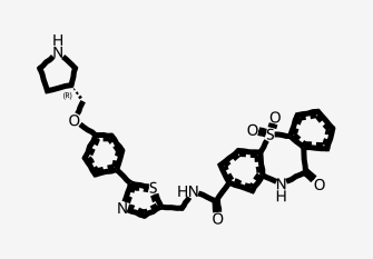 O=C(NCc1cnc(-c2ccc(OC[C@@H]3CCNC3)cc2)s1)c1ccc2c(c1)NC(=O)c1ccccc1S2(=O)=O